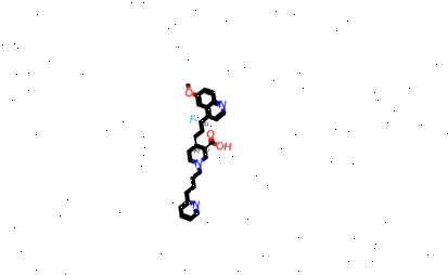 COc1ccc2nccc([C@@H](F)CC[C@@H]3CCN(CCCCc4ccccn4)C[C@@H]3C(=O)O)c2c1